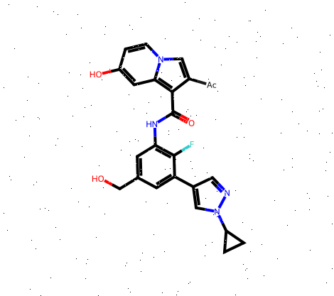 CC(=O)c1cn2ccc(O)cc2c1C(=O)Nc1cc(CO)cc(-c2cnn(C3CC3)c2)c1F